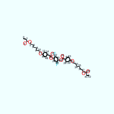 C=CC(=O)OCCCCCCOc1ccc(C(=O)Oc2cc(F)c(OC(=O)c3ccc(OCCCCCCOC(=O)C=C)cc3)cc2F)cc1